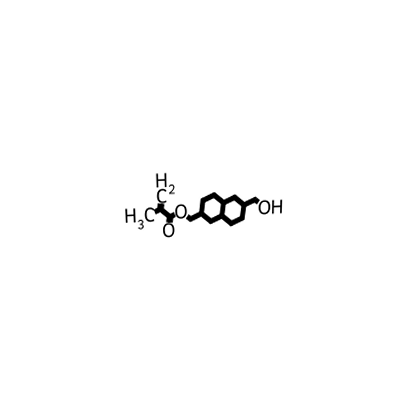 C=C(C)C(=O)OCC1CCC2CC(CO)CCC2C1